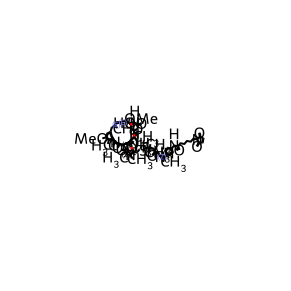 COc1cc2cc(c1Cl)N(C)C(=O)C[C@H](OC(=O)[C@H](C)N(C)C(=O)CCSSC(C)(C)CC(=O)N/N=C(/C)c1ccc(NC(=O)CCCCCN3C(=O)C=CC3=O)cc1)C(C)(O)C[C@H](C)[C@@H]1C[C@@](O)(NC(=O)O1)[C@H](OC)/C=C/C=C(\C)C2